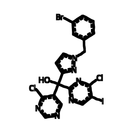 OC(c1ccn(Cc2cccc(Br)c2)n1)(c1ncc(I)c(Cl)n1)c1cncnc1Cl